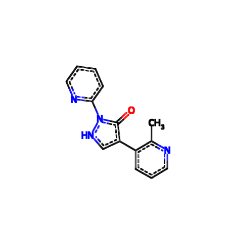 Cc1ncccc1-c1c[nH]n(-c2ccccn2)c1=O